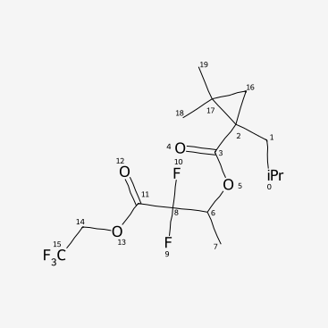 CC(C)CC1(C(=O)OC(C)C(F)(F)C(=O)OCC(F)(F)F)CC1(C)C